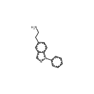 NCCc1ccc2c(cnn2-c2ccccc2)c1